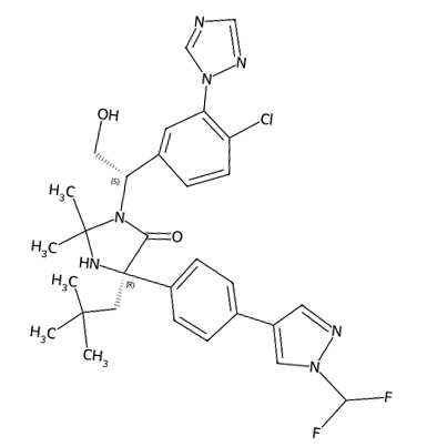 CC(C)(C)C[C@]1(c2ccc(-c3cnn(C(F)F)c3)cc2)NC(C)(C)N([C@H](CO)c2ccc(Cl)c(-n3cncn3)c2)C1=O